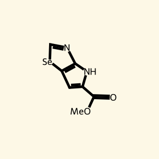 COC(=O)c1cc2[se]cnc2[nH]1